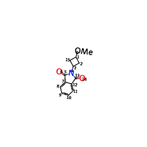 COC1CC(N2C(=O)c3ccccc3C2=O)C1